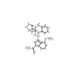 CCc1cccc2c(C(C)=O)cn(CCCN3C4CCC3CC(Oc3ccccc3Cl)C4)c12